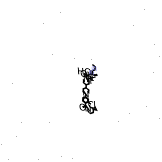 C=C/C(=C\C=C/C)[C@@](O)(C(=O)N1CCC(C2CCN(c3ccc(C(=O)N4CCCC5(CC5)C4)c(Cl)c3)CC2)CC1)C(F)(F)F